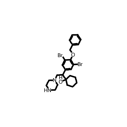 OC1(C(CN2CCNCC2)c2cc(Br)c(OCc3ccccc3)c(Br)c2)CCCCC1